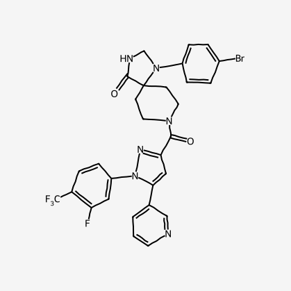 O=C(c1cc(-c2cccnc2)n(-c2ccc(C(F)(F)F)c(F)c2)n1)N1CCC2(CC1)C(=O)NCN2c1ccc(Br)cc1